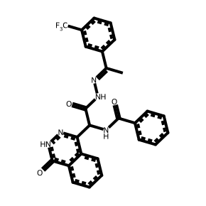 C/C(=N\NC(=O)C(NC(=O)c1ccccc1)c1n[nH]c(=O)c2ccccc12)c1cccc(C(F)(F)F)c1